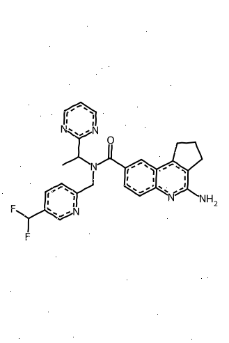 CC(c1ncccn1)N(Cc1ccc(C(F)F)cn1)C(=O)c1ccc2nc(N)c3c(c2c1)CCC3